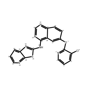 Clc1cccnc1Oc1ccc2ncnc(Nc3nc4cccnc4s3)c2c1